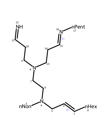 CCCCCC/C=C/CN(CCCCCCCCC)CCN(CCC=N)CC/C=N/CCCCC